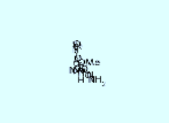 COc1c(OCCCN2C[C@@H](C)O[C@@H](C)C2)ccc2c1N=C(NC(=O)c1ccc(N)nc1)N1CCN=C21